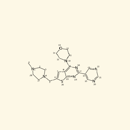 CN1CCN(Cc2cc3c(N4CCOCC4)nc(-c4cncnc4)nc3s2)CC1